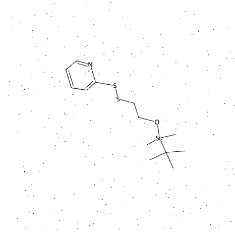 CC(C)(C)[Si](C)(C)OCCSSc1ccccn1